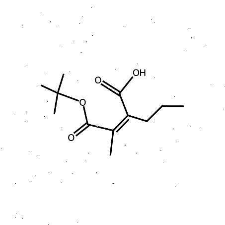 CCC/C(C(=O)O)=C(\C)C(=O)OC(C)(C)C